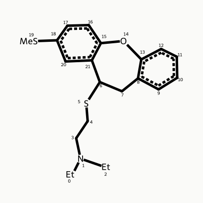 CCN(CC)CCSC1Cc2ccccc2Oc2ccc(SC)cc21